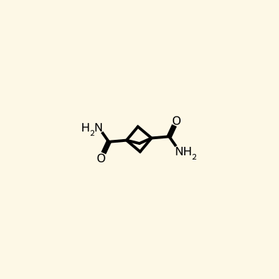 NC(=O)C12CC(C(N)=O)(C1)C2